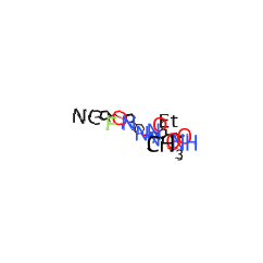 CCOc1cc(-c2cc(=O)[nH]o2)cc2c1nc(CN1CCC(c3cccc(OCc4ccc(C#N)cc4F)n3)CC1)n2C